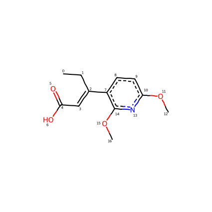 CCC(=CC(=O)O)c1ccc(OC)nc1OC